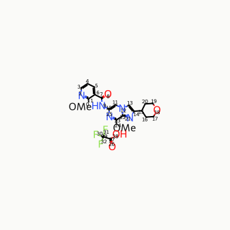 COc1ncccc1C(=O)Nc1cn2cc(C3CCOCC3)nc2c(OC)n1.O=C(O)C(F)(F)F